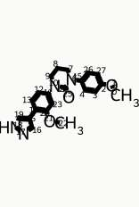 COc1ccc(N2CCCN(c3ccc(-c4cn[nH]c4)c(OC)c3)C2=O)cc1